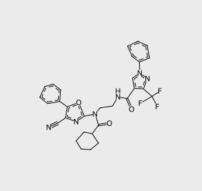 N#Cc1nc(N(CCNC(=O)c2cn(-c3ccccc3)nc2C(F)(F)F)C(=O)C2CCCCC2)oc1-c1ccccc1